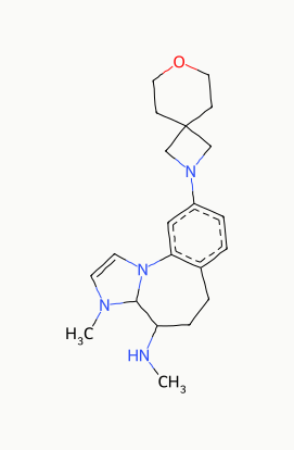 CNC1CCc2ccc(N3CC4(CCOCC4)C3)cc2N2C=CN(C)C12